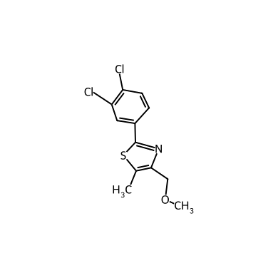 COCc1nc(-c2ccc(Cl)c(Cl)c2)sc1C